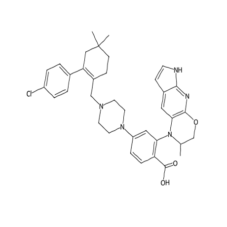 CC1COc2nc3[nH]ccc3cc2N1c1cc(N2CCN(CC3=C(c4ccc(Cl)cc4)CC(C)(C)CC3)CC2)ccc1C(=O)O